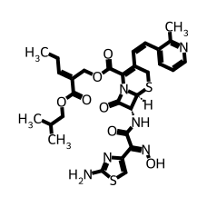 CC/C=C(\COC(=O)C1=C(/C=C\c2cccnc2C)CS[C@H]2[C@H](NC(=O)C(=NO)c3csc(N)n3)C(=O)N12)C(=O)OCC(C)C